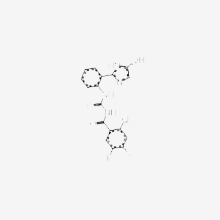 O=C(NC(=O)c1cc(F)c(F)cc1Cl)Nc1ccccc1-c1ncc(O)[nH]1